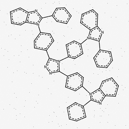 c1ccc(-c2nc3ccccc3n2-c2ccc(-c3nnc(-c4ccc(-n5c(-c6ccccc6)nc6ccccc65)cc4)n3-c3ccc(-n4c(-c5ccccc5)nc5ccccc54)cc3)cc2)cc1